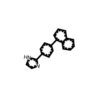 c1ccc2c(-c3ccc(-c4ncc[nH]4)cc3)cccc2c1